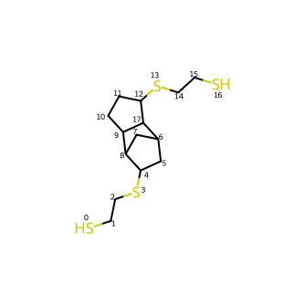 SCCSC1CC2CC1C1CCC(SCCS)C21